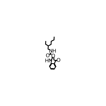 CCCCC(CC)CNC(=O)On1[nH]c2ccccc2c1=O